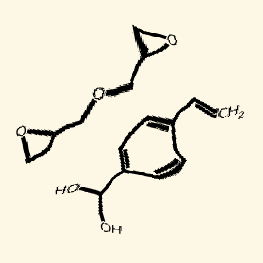 C(OCC1CO1)C1CO1.C=Cc1ccc(C(O)O)cc1